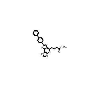 COC(=O)CCCc1nc2nc[nH]c2c2nc(-c3ccc(-c4ccccc4)cc3)nn12